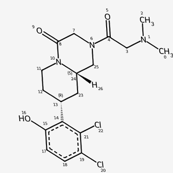 CN(C)CC(=O)N1CC(=O)N2CC[C@@H](c3c(O)ccc(Cl)c3Cl)C[C@H]2C1